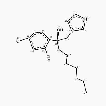 CCCCCSC[C@@](O)(Cn1ccnc1)c1ccc(Cl)cc1Cl